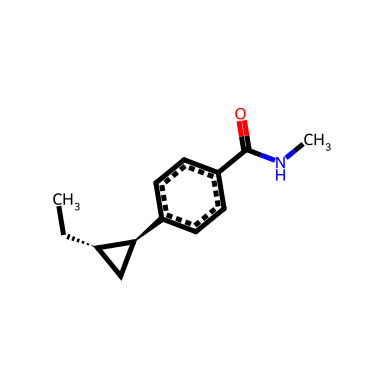 CC[C@H]1C[C@@H]1c1ccc(C(=O)NC)cc1